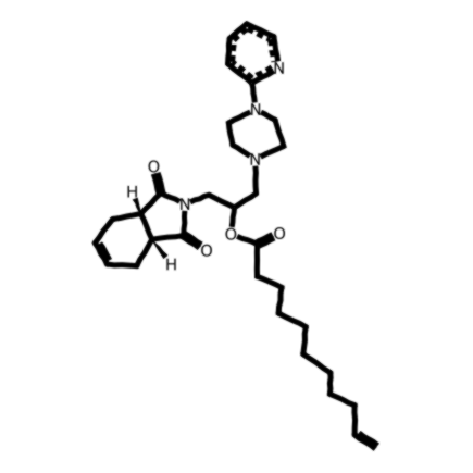 C=CCCCCCCCCC(=O)OC(CN1CCN(c2ccccn2)CC1)CN1C(=O)[C@H]2CC=CC[C@H]2C1=O